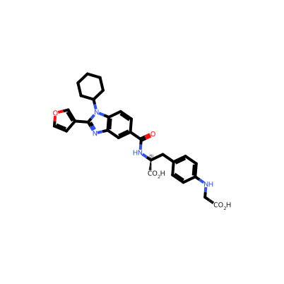 O=C(O)CNc1ccc(C[C@H](NC(=O)c2ccc3c(c2)nc(-c2ccoc2)n3C2CCCCC2)C(=O)O)cc1